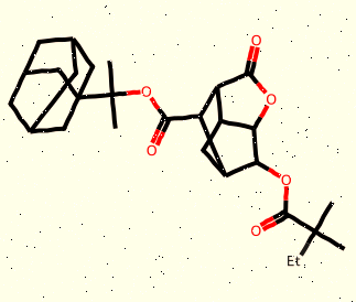 CCC(C)(C)C(=O)OC1C2CC3C1OC(=O)C3C2C(=O)OC(C)(C)C12CC3CC(CC(C3)C1)C2